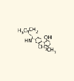 C=C(C)CCC(=N)c1ccc(-c2cc(C)ccc2O)c(C)c1